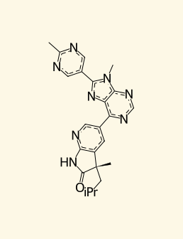 Cc1ncc(-c2nc3c(-c4cnc5c(c4)[C@](C)(CC(C)C)C(=O)N5)ncnc3n2C)cn1